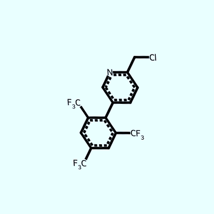 FC(F)(F)c1cc(C(F)(F)F)c(-c2ccc(CCl)nc2)c(C(F)(F)F)c1